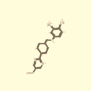 CCCCCCCCCc1cnc(C2CCC(COc3ccc(C#N)c(C#N)c3)CC2)nc1